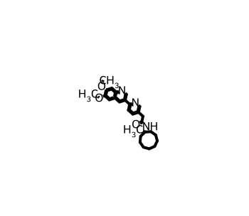 COc1cc2cc(-c3ccc(CC(=O)NC4(C)CCCCCCCC4)cn3)cnc2cc1OC